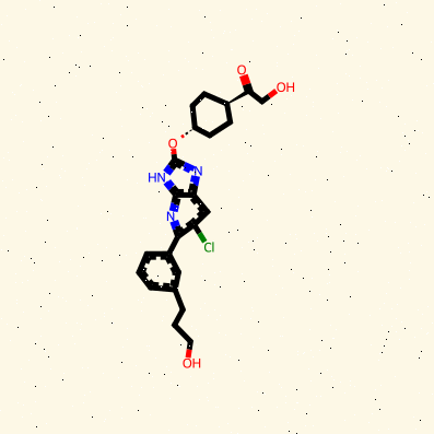 O=C(CO)[C@H]1CC[C@H](Oc2nc3cc(Cl)c(-c4cccc(CCCO)c4)nc3[nH]2)CC1